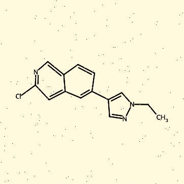 CCn1cc(-c2ccc3cnc(Cl)cc3c2)cn1